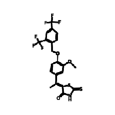 COc1cc(C(C)=C2SC(=S)NC2=O)ccc1OCc1ccc(C(F)(F)F)cc1C(F)(F)F